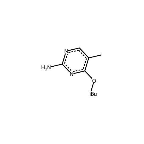 CCC(C)Oc1nc(N)ncc1I